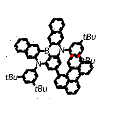 CC(C)(C)c1cc(N2c3cc4ccccc4cc3B3c4cc5ccccc5cc4N(c4cc(C(C)(C)C)cc(C(C)(C)C)c4)c4cc(-c5ccc6cccc7c8cccc9cccc(c5c67)c98)cc2c43)cc(C(C)(C)C)c1